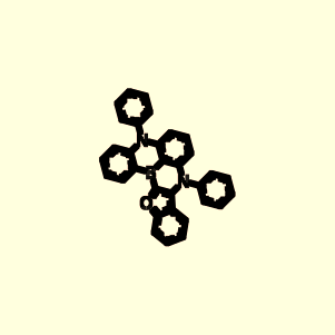 c1ccc(N2c3ccccc3B3c4oc5ccccc5c4N(c4ccccc4)c4cccc2c43)cc1